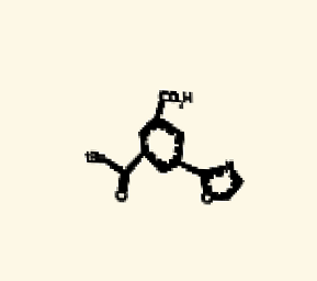 CC(C)(C)C(=O)c1cc(C(=O)O)cc(-c2ncco2)c1